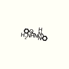 Nc1ccccc1OCCNC1=Nc2ccccc2CN1